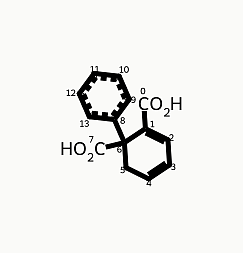 O=C(O)C1=CC=CCC1(C(=O)O)c1ccccc1